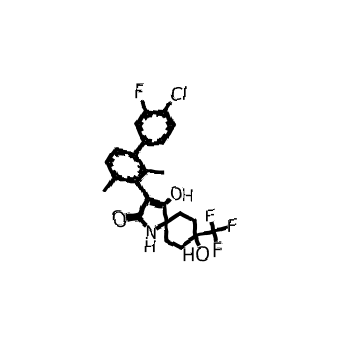 Cc1ccc(-c2ccc(Cl)c(F)c2)c(C)c1C1=C(O)C2(CCC(O)(C(F)(F)F)CC2)NC1=O